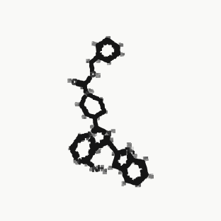 Nc1nccn2c(C3CCN(C(=O)OCc4ccccc4)CC3)nc(-c3cc4ccccc4[nH]3)c12